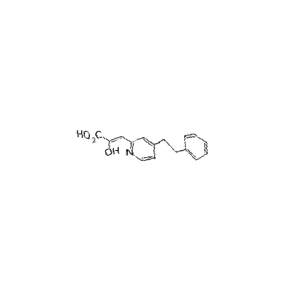 O=C(O)/C(O)=C/c1cc(CCc2ccccc2)ccn1